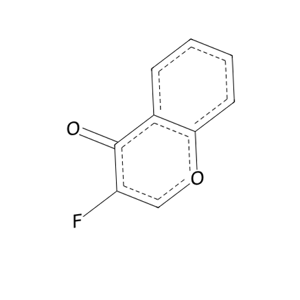 O=c1c(F)coc2ccccc12